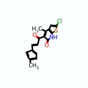 Cc1ccc(C=CC(=O)c2c(C)c3cc(Cl)sc3[nH]c2=O)cc1